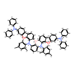 Cc1cc(C)c(N2c3cccc4c3B(c3ccc5c(oc6cc(N(c7ccccc7)c7ccccc7)ccc65)c32)c2ccc3c(oc5cc(N(c6ccccc6)c6ccccc6)ccc53)c2N4c2c(C)cc(C)cc2C)c(C)c1